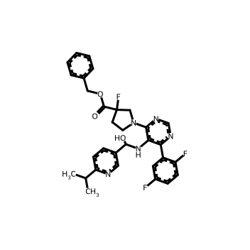 CC(C)c1ccc(C(O)Nc2c(-c3cc(F)ccc3F)ncnc2N2CCC(F)(C(=O)OCc3ccccc3)C2)cn1